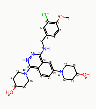 COc1ccc(CNc2nnc(N3CCC(O)CC3)c3ccc(N4CCC(O)CC4)cc23)cc1Cl